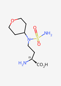 N[C@@H](CCN(C1CCOCC1)S(N)(=O)=O)C(=O)O